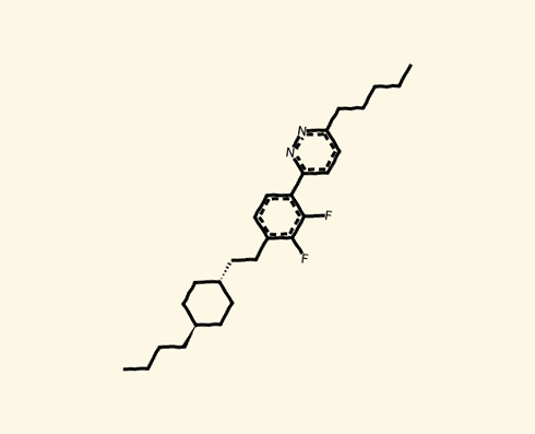 CCCCCc1ccc(-c2ccc(CC[C@H]3CC[C@H](CCCC)CC3)c(F)c2F)nn1